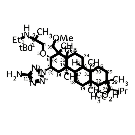 CCN[C@@](C)(CO[C@H]1[C@H](n2nnc(N)n2)C[C@]2(C)C3=CC[C@@]4(C)[C@H](C(=O)O)[C@@](C)([C@H](C)C(C)C)CC[C@]4(C)[C@H]3CC[C@H]2C1(C)COC)C(C)(C)C